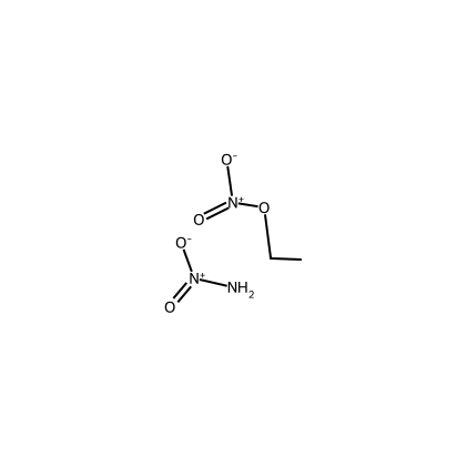 CCO[N+](=O)[O-].N[N+](=O)[O-]